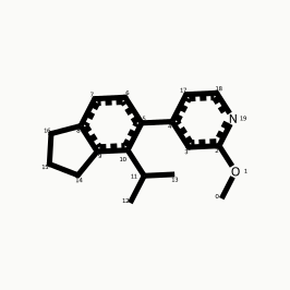 COc1cc(-c2ccc3c(c2C(C)C)CCC3)ccn1